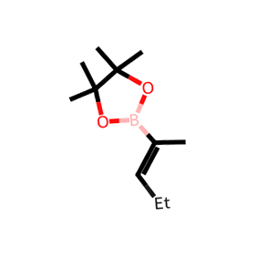 CC/C=C(\C)B1OC(C)(C)C(C)(C)O1